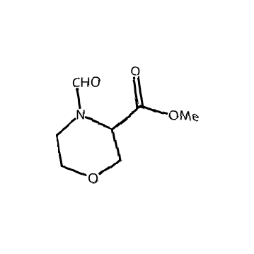 COC(=O)C1COCCN1C=O